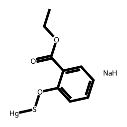 CCOC(=O)c1ccccc1O[S][Hg].[NaH]